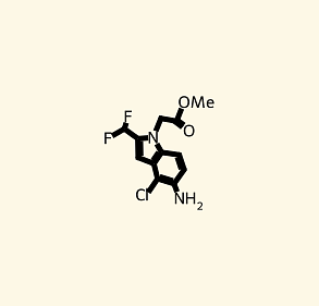 COC(=O)Cn1c(C(F)F)cc2c(Cl)c(N)ccc21